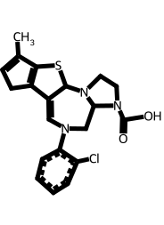 CC1=CCC2=C1SC1C2=CN(c2ccccc2Cl)CC2N(C(=O)O)CCN12